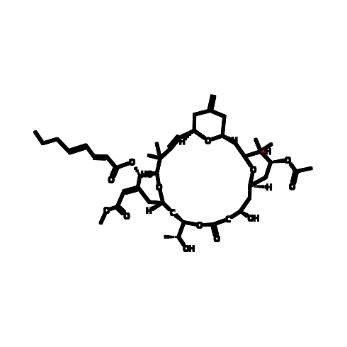 C=C1C[C@H]2C[C@]3(O)O[C@H](C[C@@H](O)CC(=O)O[C@@H]([C@@H](C)O)C[C@@H]4C/C(=C\C(=O)OC)[C@H](OC(=O)/C=C/C=C/CCC)[C@@](O)(O4)C(C)(C)/C=C/[C@@H](C1)O2)C[C@H](OC(C)=O)C3(C)C